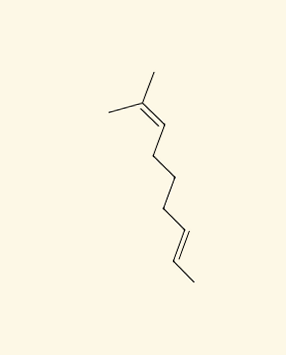 CC=CCCCC=C(C)C